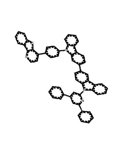 c1ccc(-c2cc(-c3ccccc3)nc(-n3c4ccccc4c4cc(-c5ccc6c7ccccc7n(-c7ccc(-c8ccnc9c8sc8ccccc89)cc7)c6c5)ccc43)c2)cc1